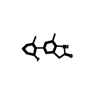 Cc1cc(-c2c(C)cccc2F)cc2c1NC(=O)C2